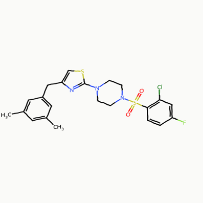 Cc1cc(C)cc(Cc2csc(N3CCN(S(=O)(=O)c4ccc(F)cc4Cl)CC3)n2)c1